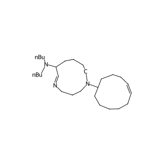 CCCCN(CCCC)C1/C=N/CCCN(C2CCC/C=C\CCCCC2)CCCC1